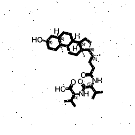 CC(C)[C@H](NC(=O)[C@@H](NC(=O)CC[C@@H](C)[C@H]1CC[C@H]2[C@@H]3CC[C@@H]4C[C@H](O)CC[C@]4(C)C3CC[C@]12C)C(C)C)C(=O)O